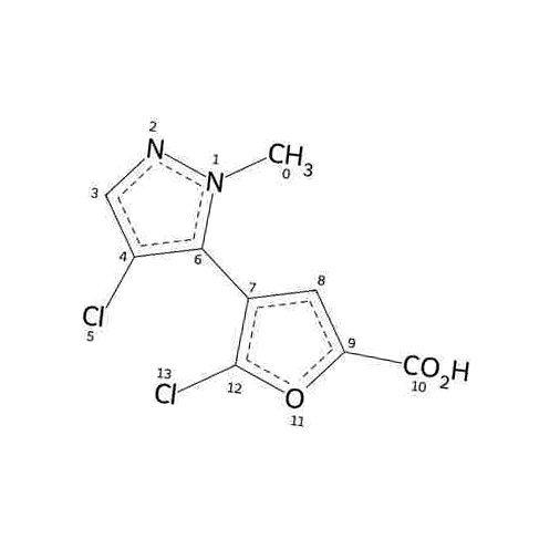 Cn1ncc(Cl)c1-c1cc(C(=O)O)oc1Cl